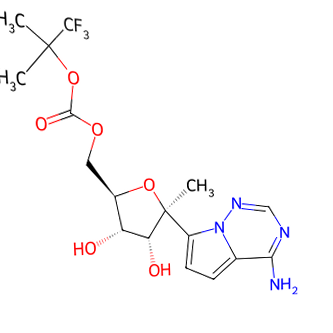 CC(C)(OC(=O)OC[C@H]1O[C@@](C)(c2ccc3c(N)ncnn23)[C@H](O)[C@@H]1O)C(F)(F)F